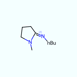 CCCC/N=C1/CCCN1C